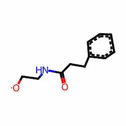 [O]CCNC(=O)CCc1ccccc1